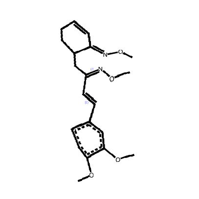 CON=C1C=CCCC1CC(/C=C/c1ccc(OC)c(OC)c1)=N/OC